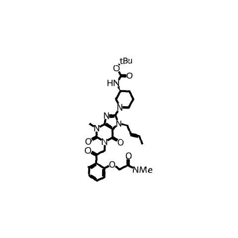 C/C=C/Cn1c(N2CCC[C@H](NC(=O)OC(C)(C)C)C2)nc2c1c(=O)n(CC(=O)c1ccccc1OCC(=O)NC)c(=O)n2C